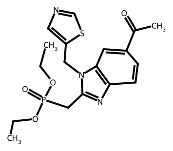 CCOP(=O)(Cc1nc2ccc(C(C)=O)cc2n1Cc1cncs1)OCC